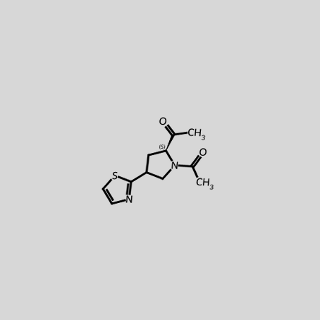 CC(=O)[C@@H]1CC(c2nccs2)CN1C(C)=O